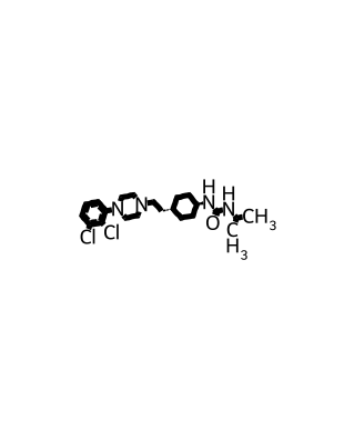 CC(C)NC(=O)N[C@H]1CC[C@H](CCN2CCN(c3cccc(Cl)c3Cl)CC2)CC1